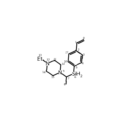 C=Cc1ccc([SiH2]C(C)N2CCN(CC)CC2)cc1